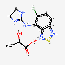 CC(O)C(=O)O.Clc1ccc2nsnc2c1NC1=NCCN1